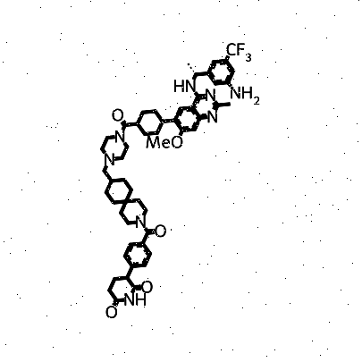 COc1cc2nc(C)nc(N[C@H](C)c3cc(N)cc(C(F)(F)F)c3)c2cc1C1CCC(C(=O)N2CCN(CC3CCC4(CC3)CCN(C(=O)c3ccc(C5CCC(=O)NC5=O)cc3)CC4)CC2)CC1